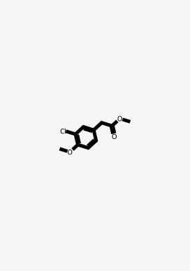 COC(=O)Cc1ccc(OC)c(Cl)c1